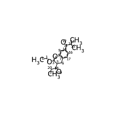 CCOC(=O)C(Cc1ccc(C(=O)C(C)C)cc1)C(=O)CC